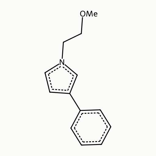 COCCn1ccc(-c2ccccc2)c1